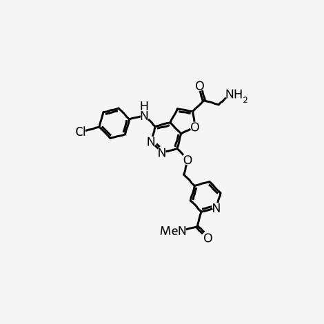 CNC(=O)c1cc(COc2nnc(Nc3ccc(Cl)cc3)c3cc(C(=O)CN)oc23)ccn1